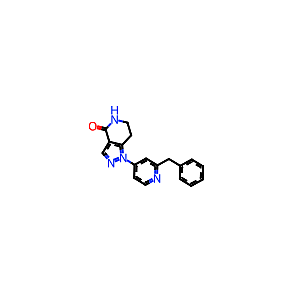 O=C1NCCc2c1cnn2-c1ccnc(Cc2ccccc2)c1